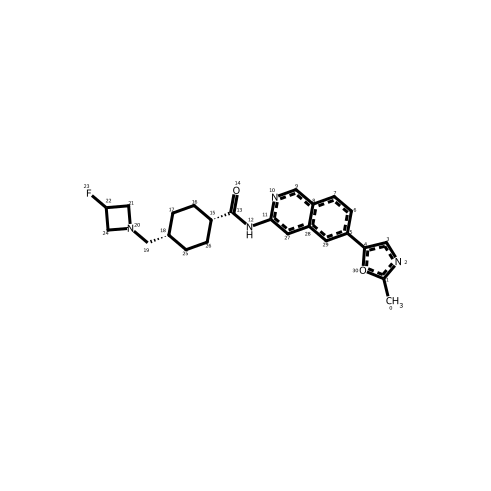 Cc1ncc(-c2ccc3cnc(NC(=O)[C@H]4CC[C@@H](CN5CC(F)C5)CC4)cc3c2)o1